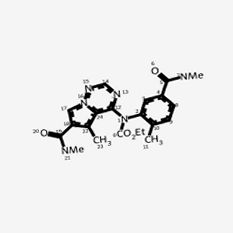 CCOC(=O)N(c1cc(C(=O)NC)ccc1C)c1ncnn2cc(C(=O)NC)c(C)c12